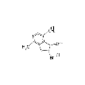 Cc1ccc(C)c2c1C=C(Br)[CH]2[Zr+2].[Cl-].[Cl-]